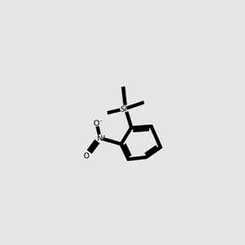 C[Si](C)(C)c1ccccc1[N+](=O)[O-]